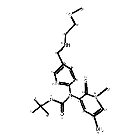 Bc1cc(N(C(=O)OC(C)(C)C)c2ccc(CNCCOC)cn2)c(=O)n(C)c1